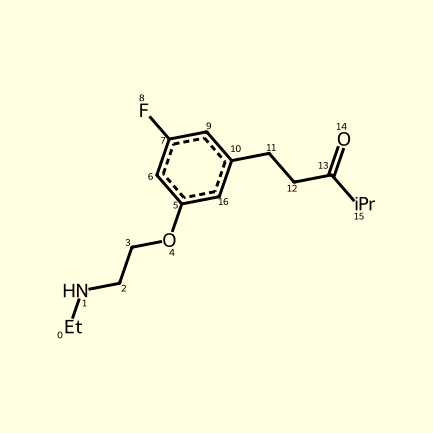 CCNCCOc1cc(F)cc(CCC(=O)C(C)C)c1